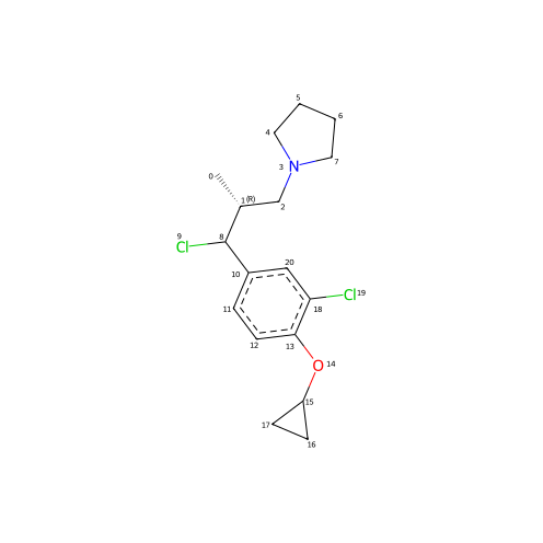 C[C@H](CN1CCCC1)C(Cl)c1ccc(OC2CC2)c(Cl)c1